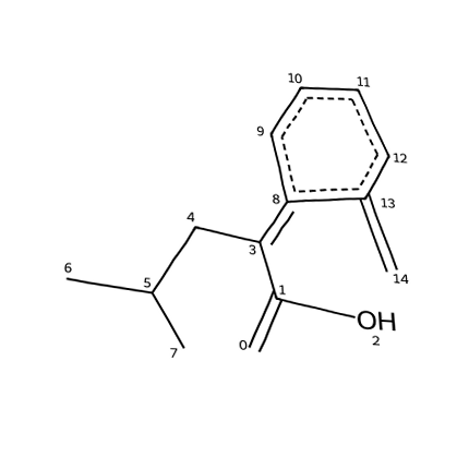 C=C(O)/C(CC(C)C)=c1/ccccc1=C